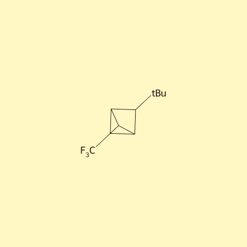 CC(C)(C)C1C2CC1C2C(F)(F)F